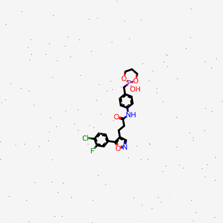 O=C(CCc1cnoc1-c1ccc(Cl)c(F)c1)Nc1ccc(C[P]2(O)OCCCO2)cc1